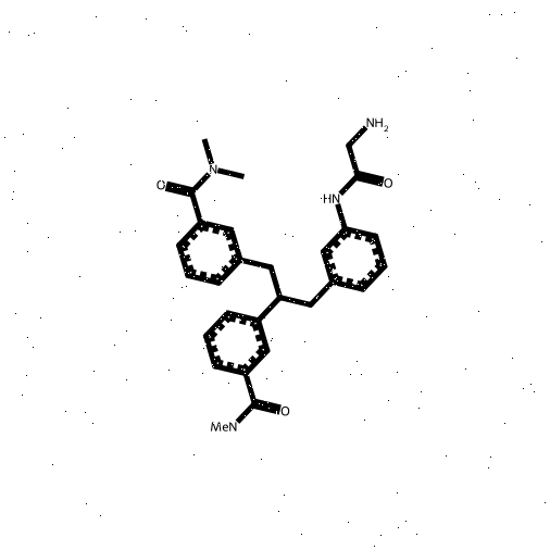 CNC(=O)c1cccc([C](Cc2cccc(NC(=O)CN)c2)Cc2cccc(C(=O)N(C)C)c2)c1